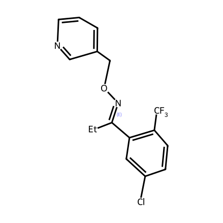 CC/C(=N\OCc1cccnc1)c1cc(Cl)ccc1C(F)(F)F